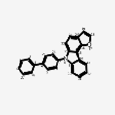 c1ccc(-c2ccc(-n3c4ccccc4c4c5occc5ccc43)cc2)cc1